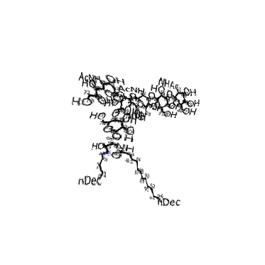 CCCCCCCCCCCCC/C=C/[C@@H](O)[C@H](CO[C@@H]1OC(CO)[C@@H](O[C@@H]2OC(CO)[C@H](O[C@@H]3OC(CO)[C@H](O)[C@H](O[C@@H]4OC(CO)[C@H](O)[C@H](O[C@@H]5OC(CO)[C@H](O)[C@H](O)C5NC(C)=O)C4O)C3NC(C)=O)[C@H](O[C@]3(C(=O)O)CC(O)[C@@H](NC(C)=O)C([C@H](O)[C@H](O)CO)O3)C2O)[C@H](O)C1O)NC(=O)CCCCCCCCCCCCCCCCCCCCC